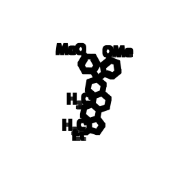 CCC1CCC2C3CCC4CC(c5ccc(OC)cc5)(c5cccc(OC)c5)CCC4(C)C3CCC12C